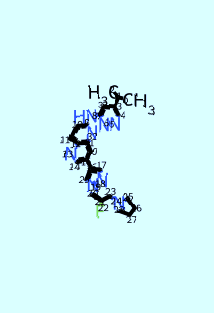 CC(C)c1cnnc(Nc2ccc3ncc(-c4cnn(/C=C(/F)CN5CCCC5)c4)cc3n2)c1